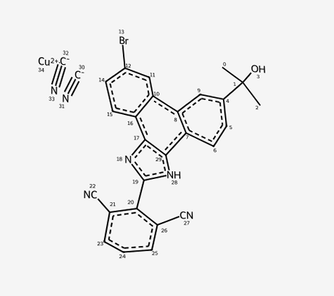 CC(C)(O)c1ccc2c(c1)c1cc(Br)ccc1c1nc(-c3c(C#N)cccc3C#N)[nH]c21.[C-]#N.[C-]#N.[Cu+2]